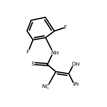 CC(C)C(O)=C(C#N)C(=S)Nc1c(F)cccc1F